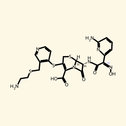 NCCSCc1cnccc1SC1=C(C(=O)O)N2C(=O)[C@@H](NC(=O)/C(=N\O)c3cccc(N)n3)[C@@H]2SC1